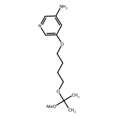 COC(C)(C)OCCCCOc1cncc(N)c1